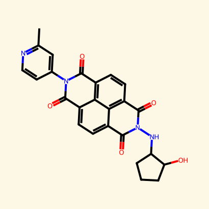 Cc1cc(N2C(=O)c3ccc4c5c(ccc(c35)C2=O)C(=O)N(NC2CCCC2O)C4=O)ccn1